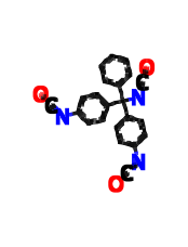 O=C=Nc1ccc(C(N=C=O)(c2ccccc2)c2ccc(N=C=O)cc2)cc1